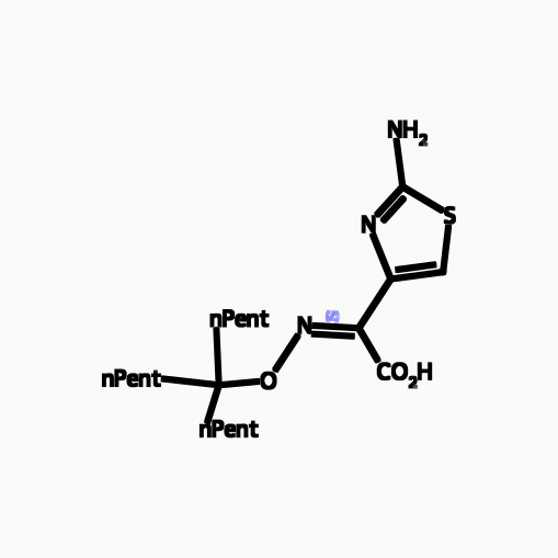 CCCCCC(CCCCC)(CCCCC)O/N=C(\C(=O)O)c1csc(N)n1